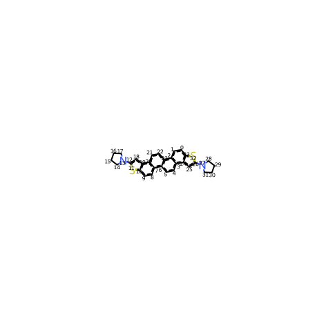 c1cc2c(ccc3c4ccc5sc(N6CCCC6)cc5c4ccc23)c2cc(N3CCCC3)sc12